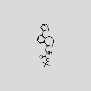 CC(C)(C)OC(=O)NC[C@H]1OCCCc2c(-c3ccno3)cccc21